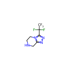 FC(F)(F)C(F)(F)c1nnc2n1CCNC2